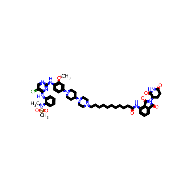 COc1cc(N2CCC(N3CCN(CCCCCCCCCCC(=O)Nc4cccc5c4C(=O)N(C4CCC(=O)NC4=O)C5=O)CC3)CC2)ccc1Nc1ncc(Cl)c(Nc2ccccc2N(C)S(C)(=O)=O)n1